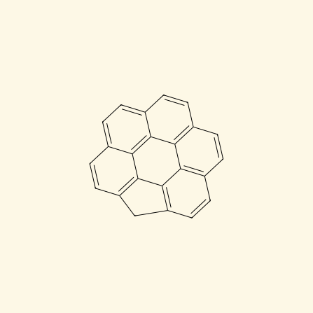 c1cc2ccc3ccc4ccc5ccc6c7c(c1C6)c2c3c4c57